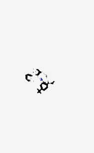 COOSc1cnn(-c2ccccn2)c1/N=N/c1cc(C(C)(C)C)ccc1NC(C)=O